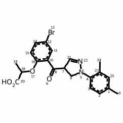 Cc1ccc(N2CC(C(=O)c3cc(Br)ccc3OC(C)C(=O)O)C=N2)c(C)c1